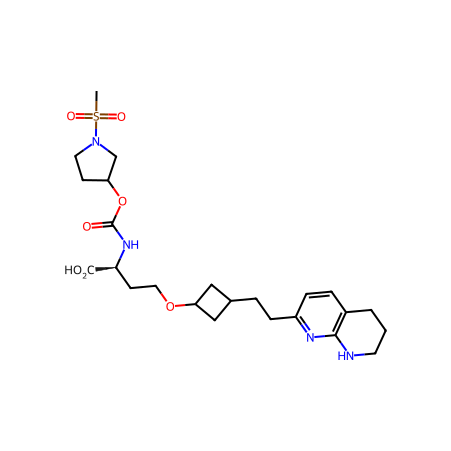 CS(=O)(=O)N1CCC(OC(=O)N[C@@H](CCOC2CC(CCc3ccc4c(n3)NCCC4)C2)C(=O)O)C1